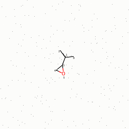 C[C](C)C1CO1